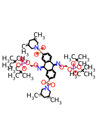 C[C@@H]1C[C@H](C)CN(S(=O)(=O)c2ccc3c(c2)C(=NOCOP(=O)(OC(C)(C)C)OC(C)(C)C)c2cc(S(=O)(=O)N4C[C@H](C)C[C@H](C)C4)ccc2C3=NOCOP(=O)(OC(C)(C)C)OC(C)(C)C)C1